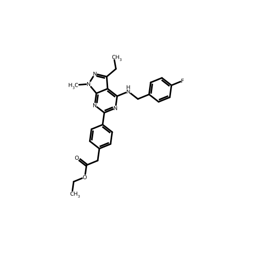 CCOC(=O)Cc1ccc(-c2nc(NCc3ccc(F)cc3)c3c(CC)nn(C)c3n2)cc1